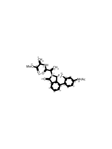 C=C(NC(=O)C(=C)N1Cc2c(cccc2-c2ccc(NC(C)=O)cc2C(F)(F)F)C1=O)C(=O)OC